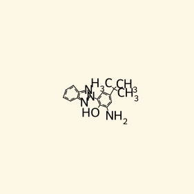 CC(C)(C)c1cc(N)c(O)c(-n2nc3ccccc3n2)c1